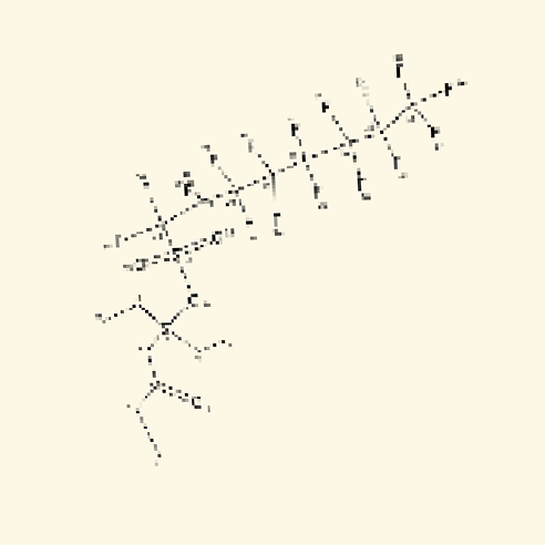 CCC(=O)CS(CC)(CC)OS(=O)(=O)C(F)(F)C(F)(F)C(F)(F)C(F)(F)C(F)(F)C(F)(F)C(F)(F)C(F)(F)F